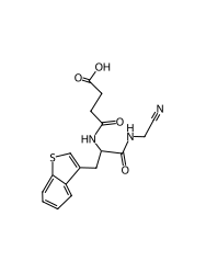 N#CCNC(=O)C(Cc1csc2ccccc12)NC(=O)CCC(=O)O